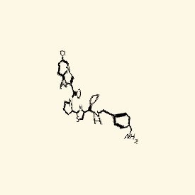 NCc1ccc(CNC(=O)c2csc(C3CCCN3C(=O)c3cn4cc(Cl)ccc4n3)n2)cc1